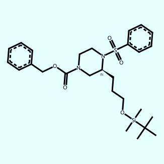 CC(C)(C)[Si](C)(C)OCCC[C@H]1CN(C(=O)OCc2ccccc2)CCN1S(=O)(=O)c1ccccc1